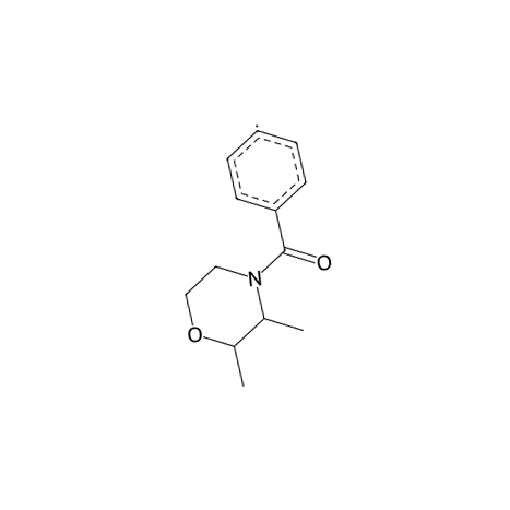 CC1OCCN(C(=O)c2cc[c]cc2)C1C